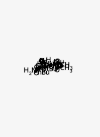 CCCCC(NC(=O)[C@@H]1[C@H]2CCC[C@H]2CN1C(=O)[C@@H](NC(=O)N[C@H](CN1C(=O)CC(C)(C)CC1=O)C(C)(C)C)C(C)(C)C)C(=O)C(N)=O